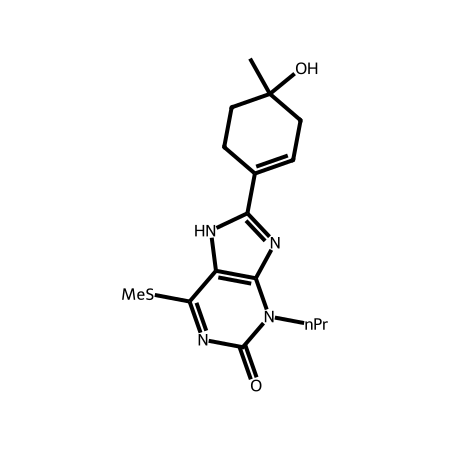 CCCn1c(=O)nc(SC)c2[nH]c(C3=CCC(C)(O)CC3)nc21